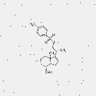 CC(=O)O[C@H]1CCC[C@]2(C)C([C@@H](C)COS(=O)(=O)c3ccc(C)cc3)=CCC12